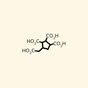 O=C(O)CC1CC(C(=O)O)C(C(=O)O)C1C(=O)O